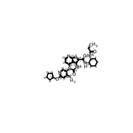 C=CC(=O)N[C@H]1CCCC[C@H]1NC(=O)c1sc2nccc3c2c1NC(=O)N3c1cnc(OC2CCCC2)cc1C